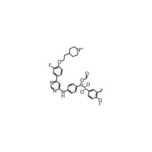 COc1ccc(S(=O)(=O)N(OC=O)c2ccc(Nc3cc(-c4ccc(OCCC5CCN(C)CC5)c(F)c4)ncn3)cc2)cc1F